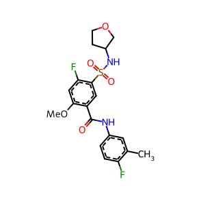 COc1cc(F)c(S(=O)(=O)NC2CCOC2)cc1C(=O)Nc1ccc(F)c(C)c1